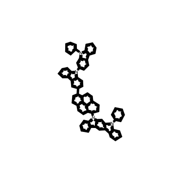 c1ccc(-n2c3ccccc3c3ccc(-n4c5ccccc5c5cc(-c6ccc7ccc8c(-n9c%10ccccc%10c%10cc%11c%12ccccc%12n(-c%12ccccc%12)c%11cc%109)ccc9ccc6c7c98)ccc54)cc32)cc1